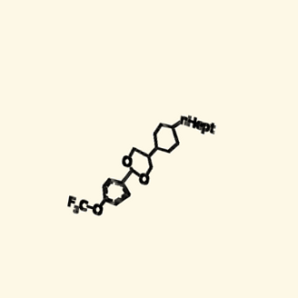 CCCCCCCC1CCC(C2COC(c3ccc(OC(F)(F)F)cc3)OC2)CC1